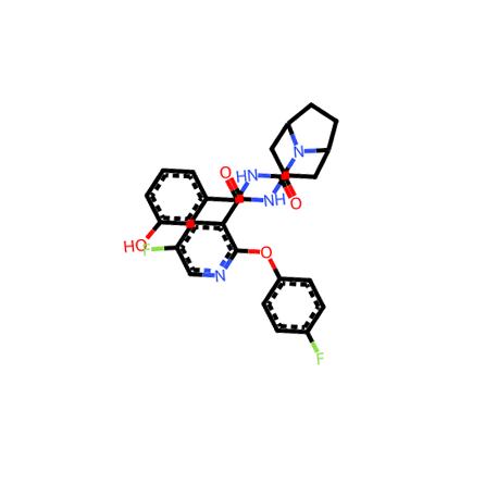 O=C(NC1CC2CCC(C1)N2C(=O)NCc1cccc(O)c1)c1cc(F)cnc1Oc1ccc(F)cc1